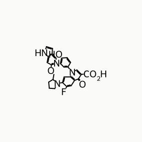 O=C(O)c1cn(-c2ccc(O)cc2)c2cc(N3CCCC3COc3cc4[nH]ccc4cn3)c(F)cc2c1=O